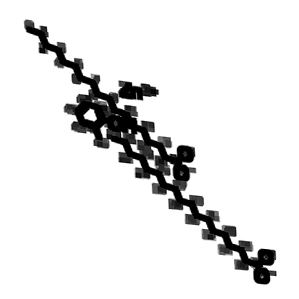 CCCCCCCCCCCCCCCCCC(=O)[O-].CCCCCCCCCCCCCCCCCC(=O)[O-].Cc1ccccc1O.[Zn+2]